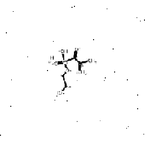 C=C(C)C(=O)P(=O)(O)OCCO.[H+]